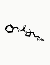 CNCCC[C@]1(C)CCN1C(=O)OCc1ccccc1